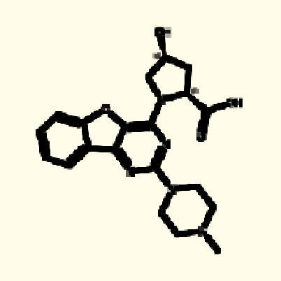 CN1CCN(c2nc(N3C[C@@H](O)C[C@H]3C(=O)O)c3oc4ccccc4c3n2)CC1